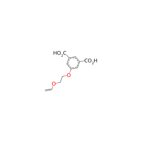 C=COCCOc1cc(C(=O)O)cc(C(=O)O)c1